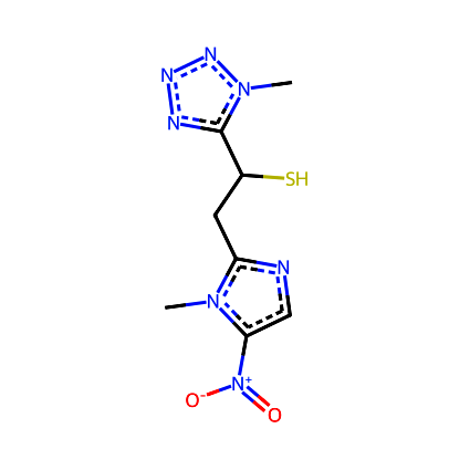 Cn1nnnc1C(S)Cc1ncc([N+](=O)[O-])n1C